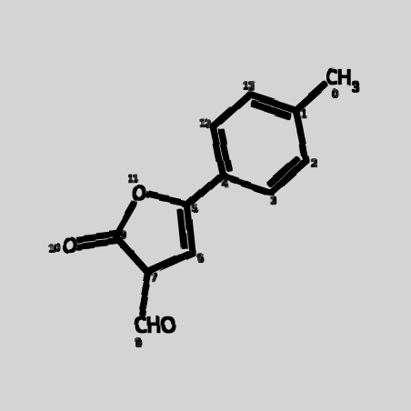 Cc1ccc(C2=CC(C=O)C(=O)O2)cc1